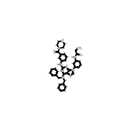 C=CC(=O)Nc1cccc(-n2cnc3c(N(Cc4ccccc4)Cc4ccccc4)nc(Nc4cccc(C(=O)N5CCOCC5)c4)nc32)c1